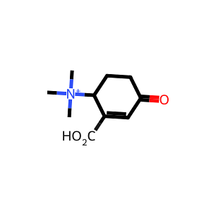 C[N+](C)(C)C1CCC(=O)C=C1C(=O)O